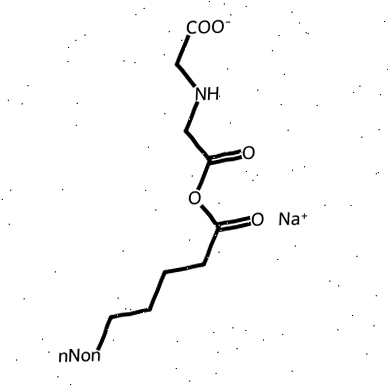 CCCCCCCCCCCCCC(=O)OC(=O)CNCC(=O)[O-].[Na+]